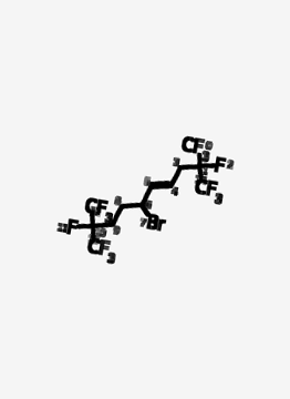 FC(F)(F)C(F)(CC=CC(Br)CCC(F)(C(F)(F)F)C(F)(F)F)C(F)(F)F